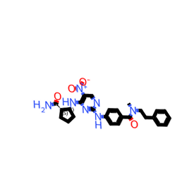 CN(CCc1ccccc1)C(=O)c1ccc(Nc2ncc([N+](=O)[O-])c(N[C@@H]3CCC[C@@H]3C(N)=O)n2)cc1